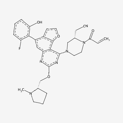 C=CC(=O)N1CCN(c2nc(OC[C@@H]3CCCN3C)nc3cc(-c4c(O)cccc4F)c4ccoc4c23)C[C@@H]1CC#N